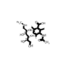 CC(=O)Nc1c(I)cc(I)c(C(=O)O)c1I.CNC[C@H](O)[C@@H](O)[C@H](O)[C@H](O)CO